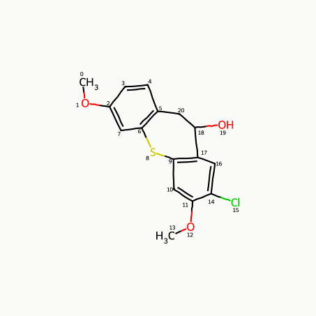 COc1ccc2c(c1)Sc1cc(OC)c(Cl)cc1C(O)C2